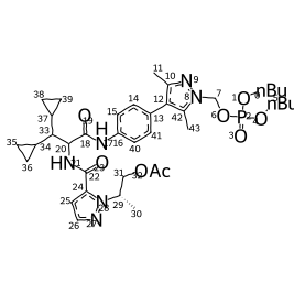 CCCCOP(=O)(OCCCC)OCn1nc(C)c(-c2ccc(NC(=O)C(NC(=O)c3ccnn3[C@@H](C)COC(C)=O)C(C3CC3)C3CC3)cc2)c1C